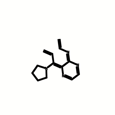 C=C/N=C1/N=CC=N/C1=C(/C=C)N1CCCC1